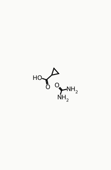 NC(N)=O.O=C(O)C1CC1